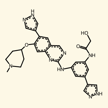 CN1CCC(Oc2cc3nc(Nc4cc(NC(=O)CO)cc(-c5cn[nH]c5)c4)ncc3cc2-c2cn[nH]c2)CC1